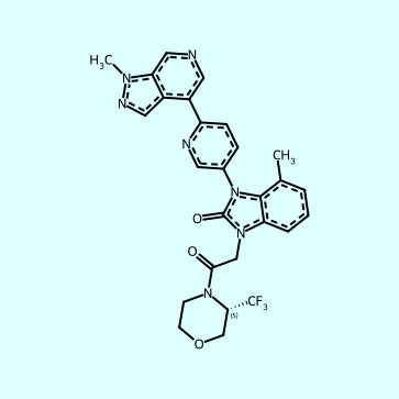 Cc1cccc2c1n(-c1ccc(-c3cncc4c3cnn4C)nc1)c(=O)n2CC(=O)N1CCOC[C@H]1C(F)(F)F